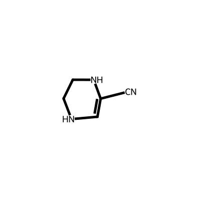 N#CC1=CNCCN1